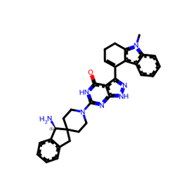 Cn1c2c(c3ccccc31)C(c1n[nH]c3nc(N4CCC5(CC4)Cc4ccccc4[C@H]5N)[nH]c(=O)c13)=CCC2